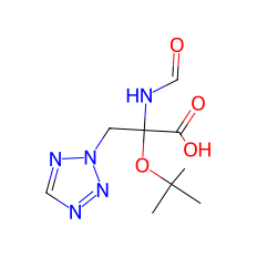 CC(C)(C)OC(Cn1ncnn1)(NC=O)C(=O)O